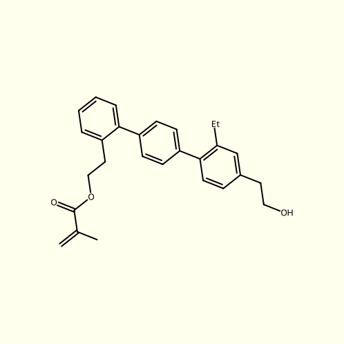 C=C(C)C(=O)OCCc1ccccc1-c1ccc(-c2ccc(CCO)cc2CC)cc1